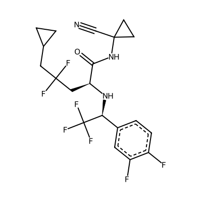 N#CC1(NC(=O)[C@H](CC(F)(F)CC2CC2)N[C@@H](c2ccc(F)c(F)c2)C(F)(F)F)CC1